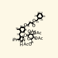 CC(=O)OC[C@H]1O[C@@H](Oc2n[nH]c(C(C)C)c2Cc2ccc(OCCC(=O)OCc3ccccc3)cc2C)[C@H](OC(C)=O)[C@@H](OC(C)=O)[C@@H]1OC(C)=O